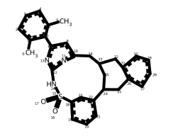 Cc1cccc(C)c1-c1cc2nc(n1)NS(=O)(=O)c1cccc(c1)C1Cc3ccccc3CC(C2)C1